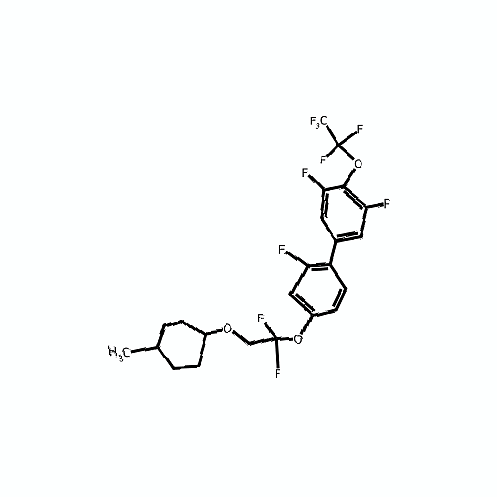 CC1CCC(OCC(F)(F)Oc2ccc(-c3cc(F)c(OC(F)(F)C(F)(F)F)c(F)c3)c(F)c2)CC1